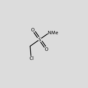 CNS(=O)(=O)CCl